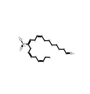 CC/C=C\C/C=C\C/C(=C\C/C=C\CCCCCC[C]=O)[N+](=O)[O-]